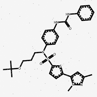 Cc1cc(-c2ccc(S(=O)(=O)N(CCCOC(C)(C)C)c3ccc(NC(=O)Nc4ccccc4)cc3)s2)n(C)n1